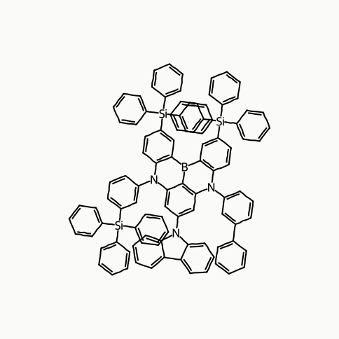 c1ccc(-c2cccc(N3c4ccc([Si](c5ccccc5)(c5ccccc5)c5ccccc5)cc4B4c5cc([Si](c6ccccc6)(c6ccccc6)c6ccccc6)ccc5N(c5cccc([Si](c6ccccc6)(c6ccccc6)c6ccccc6)c5)c5cc(-n6c7ccccc7c7ccccc76)cc3c54)c2)cc1